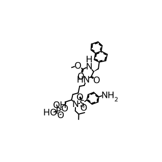 COC(=O)N[C@@H](Cc1ccc2ccccc2c1)C(=O)NCCCCC(COP(=O)(O)O)N(CC(C)C)S(=O)(=O)c1ccc(N)cc1